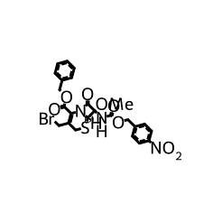 COC1(NC(=O)OCc2ccc([N+](=O)[O-])cc2)C(=O)N2C(C(=O)OCc3ccccc3)=C(CBr)CS[C@H]21